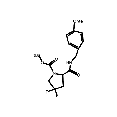 COc1ccc(CNC(=O)[C@H]2CC(F)(F)CN2C(=O)OC(C)(C)C)cc1